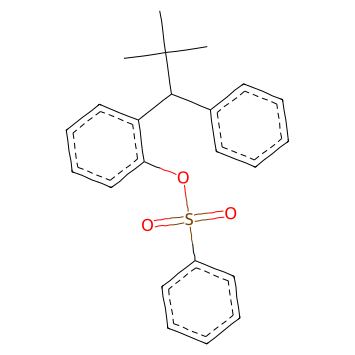 CC(C)(C)C(c1ccccc1)c1ccccc1OS(=O)(=O)c1ccccc1